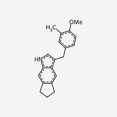 COc1ccc(Cc2c[nH]c3cc4c(cc23)CCC4)cc1C